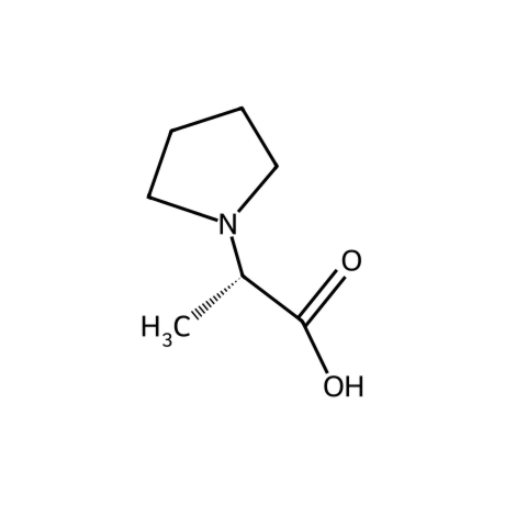 C[C@@H](C(=O)O)N1CCCC1